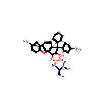 COc1ccc(OCC(OP(O)NC(CC#N)N(C(C)C)C(C)C)C(O)C(c2ccccc2)(c2ccc(OC)cc2)c2ccc(OC)cc2)cc1